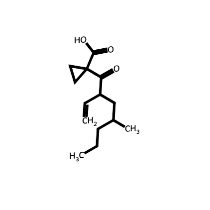 C=CC(CC(C)CCC)C(=O)C1(C(=O)O)CC1